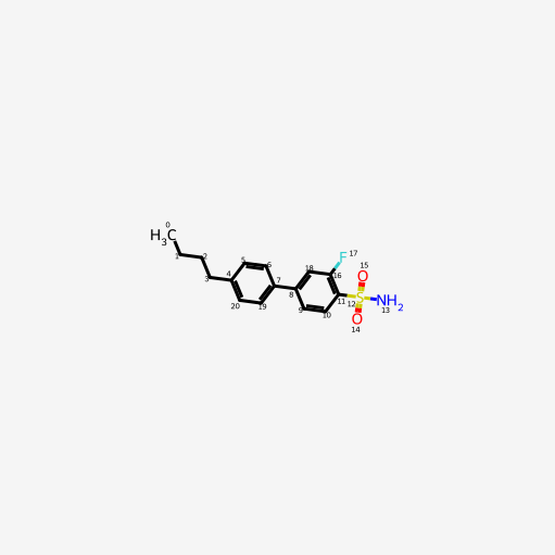 CCCCc1ccc(-c2ccc(S(N)(=O)=O)c(F)c2)cc1